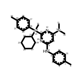 Cc1ccc(Nc2cc(N(C)C)nc([N+](C)(c3ccc(C)cc3)C3CCCCC3)n2)cc1